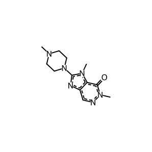 CN1CCN(c2nc3cnn(C)c(=O)c3n2C)CC1